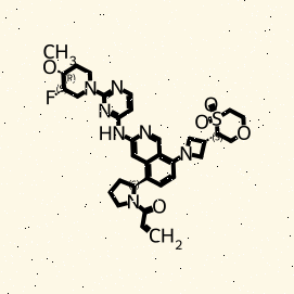 C=CC(=O)N1CCC[C@H]1c1ccc(N2CC([C@H]3COCCS3(=O)=O)C2)c2cnc(Nc3ccnc(N4CC[C@@H](OC)[C@@H](F)C4)n3)cc12